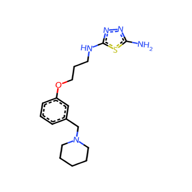 Nc1nnc(NCCCOc2cccc(CN3CCCCC3)c2)s1